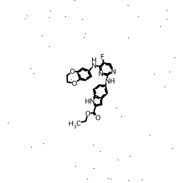 CCOC(=O)c1cc2cc(Nc3ncc(F)c(Nc4ccc5c(c4)OCCO5)n3)ccc2[nH]1